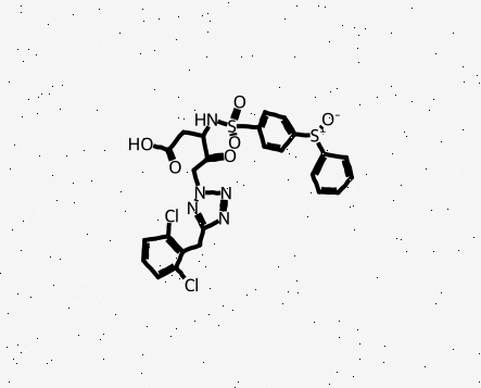 O=C(O)CC(NS(=O)(=O)c1ccc([S+]([O-])c2ccccc2)cc1)C(=O)Cn1nnc(Cc2c(Cl)cccc2Cl)n1